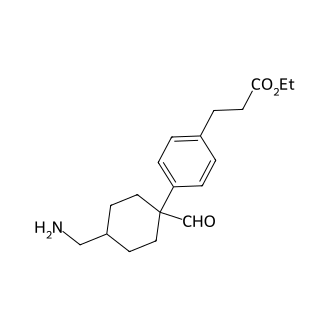 CCOC(=O)CCc1ccc(C2(C=O)CCC(CN)CC2)cc1